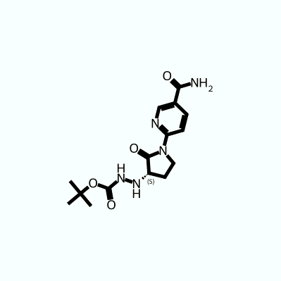 CC(C)(C)OC(=O)NN[C@H]1CCN(c2ccc(C(N)=O)cn2)C1=O